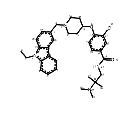 CCn1c2ccccc2c2cc(CN3CCC(Oc4ccc(C(=O)NCC(C)(C)N(C)C)cc4Cl)CC3)ccc21